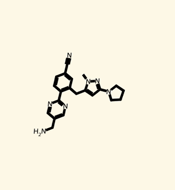 Cn1nc(N2CCCC2)cc1Cc1cc(C#N)ccc1-c1ncc(CN)cn1